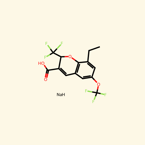 CCc1cc(OC(F)(F)F)cc2c1OC(C(F)(F)F)C(C(=O)O)=C2.[NaH]